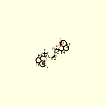 C[C@@H]1CC[C@H]2[C@@H](C)[C@](OC[C@H]3O[C@@H]3CO[C@@]3(C(F)(F)F)O[C@@H]4O[C@]5(C)CC[C@H]6[C@H](C)CC[C@@H]([C@H]3C)[C@@]46OO5)(C(F)(F)F)O[C@@H]3O[C@]4(C)CC[C@@H]1[C@]32OO4